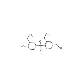 CCc1cc(S(=O)(=O)c2ccc(OC)cc2CC)ccc1O